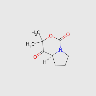 CC1(C)OC(=O)N2CCC[C@H]2C1=O